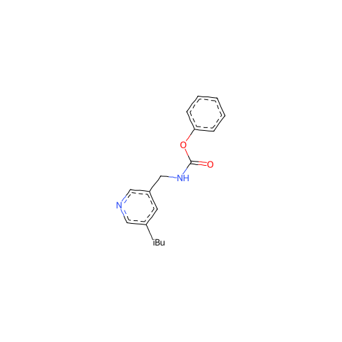 CCC(C)c1cncc(CNC(=O)Oc2ccccc2)c1